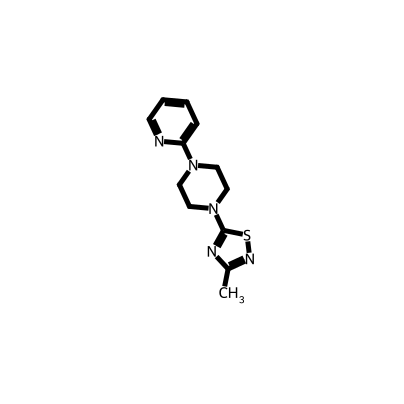 Cc1nsc(N2CCN(c3ccccn3)CC2)n1